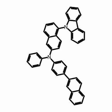 c1ccc(N(c2ccc(-c3ccc4ccccc4c3)cc2)c2ccc3c(-n4c5ccccc5c5ccccc54)cccc3c2)cc1